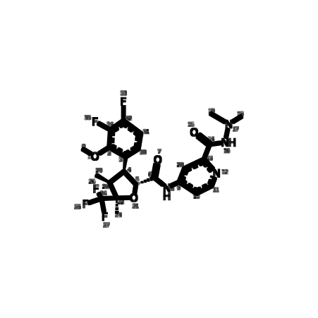 COc1c([C@H]2[C@H](C(=O)Nc3ccnc(C(=O)NN(C)C)c3)O[C@@](C)(C(F)(F)F)[C@H]2C)ccc(F)c1F